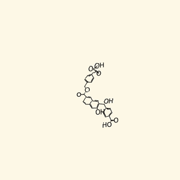 O=C(O)c1ccc(C(O)c2cc3cc(C(=O)OCc4ccc(S(=O)(=O)O)cc4)ccc3cc2O)cc1